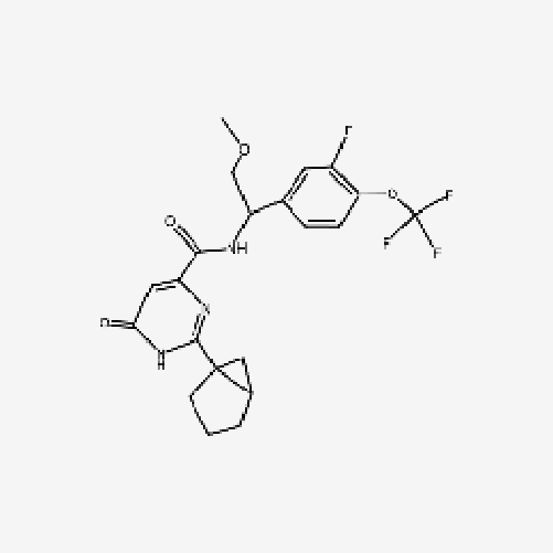 COCC(NC(=O)c1cc(=O)[nH]c(C23CCCC2C3)n1)c1ccc(OC(F)(F)F)c(F)c1